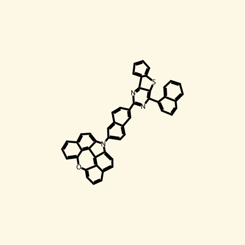 c1ccc2c(-c3nc(-c4ccc5cc(-n6c7ccc8cccc9oc%10cccc%11ccc6c(c%11%10)c7c89)ccc5c4)nc4c3sc3ccccc34)cccc2c1